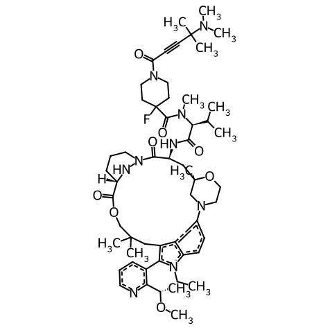 CCn1c(-c2cccnc2[C@H](C)OC)c2c3cc(ccc31)N1CCO[C@@](C)(C[C@H](NC(=O)[C@H](C(C)C)N(C)C(=O)C3(F)CCN(C(=O)C#CC(C)(C)N(C)C)CC3)C(=O)N3CCC[C@H](N3)C(=O)OCC(C)(C)C2)C1